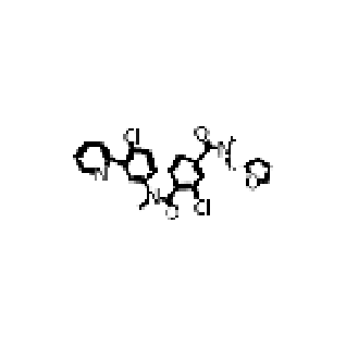 CN(C[C@@H]1CCCO1)C(=O)c1ccc(C(=O)N(C)c2ccc(Cl)c(-c3ccccn3)c2)c(Cl)c1